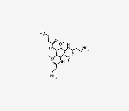 CO[C@H]1[C@@H](NC(=O)CCN)[C@@H](OC)[C@@H](NC(=O)CCN)[C@@H](OC)[C@H]1NC(=O)CCN